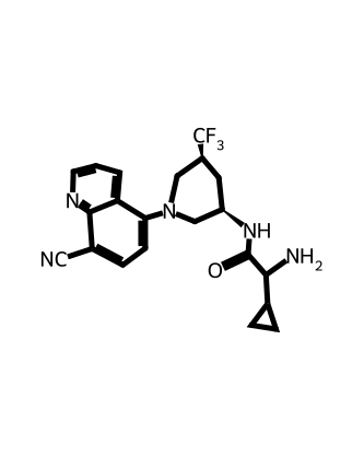 N#Cc1ccc(N2C[C@H](NC(=O)C(N)C3CC3)C[C@H](C(F)(F)F)C2)c2cccnc12